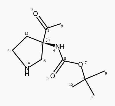 CC(=O)[C@@]1(NC(=O)OC(C)(C)C)CCNC1